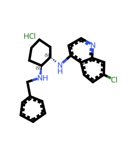 Cl.Clc1ccc2c(N[C@H]3CCCC[C@@H]3NCc3ccccc3)ccnc2c1